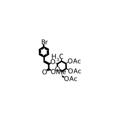 COC(=O)/C(=C/c1ccc(Br)cc1)O[C@H]1O[C@@H](COC(C)=O)[C@H](OC(C)=O)[C@@H](OC(C)=O)[C@@H]1C